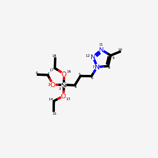 CCO[Si](CCCn1cc(C)nn1)(OCC)OCC